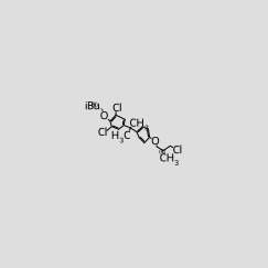 CC[C@@H](C)COc1c(Cl)cc(C(C)(C)c2ccc(OC[C@@H](C)CCl)cc2)cc1Cl